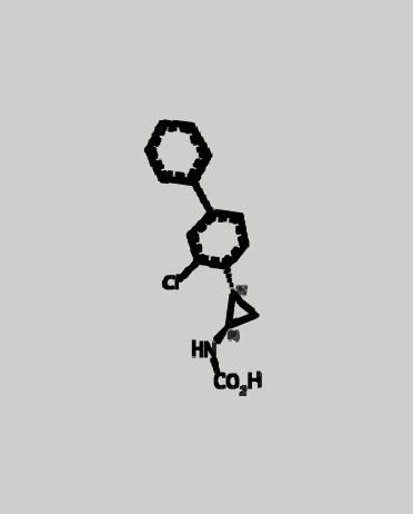 O=C(O)N[C@@H]1C[C@H]1c1ccc(-c2ccccc2)cc1Cl